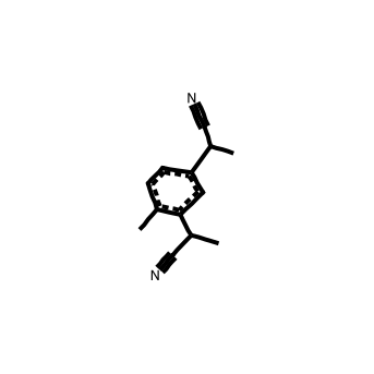 Cc1ccc(C(C)C#N)cc1C(C)C#N